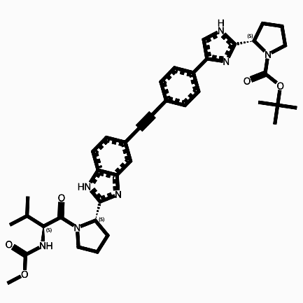 COC(=O)N[C@H](C(=O)N1CCC[C@H]1c1nc2cc(C#Cc3ccc(-c4c[nH]c([C@@H]5CCCN5C(=O)OC(C)(C)C)n4)cc3)ccc2[nH]1)C(C)C